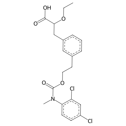 CCOC(Cc1cccc(CCOC(=O)N(C)c2ccc(Cl)cc2Cl)c1)C(=O)O